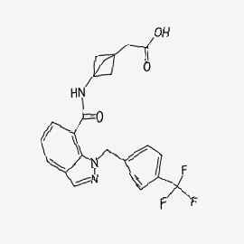 O=C(O)CC12CC(NC(=O)c3cccc4cnn(Cc5ccc(C(F)(F)F)cc5)c34)(C1)C2